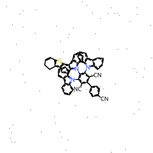 N#Cc1ccc(-c2c(C#N)c(-n3c4ccccc4c4ccccc43)c(-n3c4ccccc4c4c5sc6c(c5ccc43)CCC=C6)c(-n3c4ccccc4c4ccccc43)c2C#N)cc1